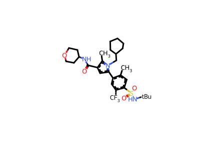 Cc1cc(S(=O)(=O)NC(C)(C)C)c(C(F)(F)F)cc1-c1cc(C(=O)NC2CCOCC2)c(C)n1CC1CCCCC1